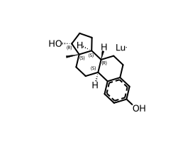 C[C@]12CC[C@@H]3c4ccc(O)cc4CC[C@H]3[C@@H]1CC[C@H]2O.[Lu]